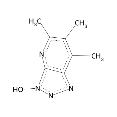 Cc1nc2c(nnn2O)c(C)c1C